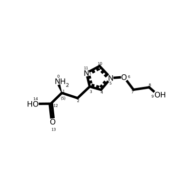 N[C@@H](Cc1cn(OCCO)cn1)C(=O)O